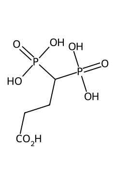 O=C(O)CCC(P(=O)(O)O)P(=O)(O)O